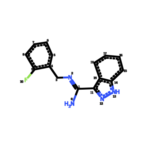 NC(=NCc1ccccc1F)c1n[nH]c2ccccc12